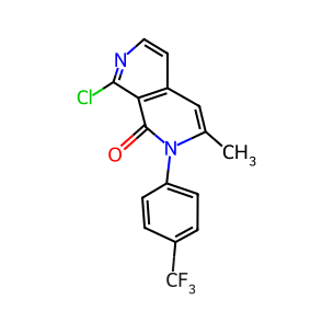 Cc1cc2ccnc(Cl)c2c(=O)n1-c1ccc(C(F)(F)F)cc1